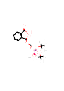 CC(C)(C)OP(=O)(OCOC(=O)c1ccccc1C(=O)O)OC(C)(C)C